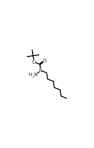 CCCCCCCN(N)C(=O)OC(C)(C)C